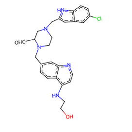 O=CC1CN(Cc2cc3cc(Cl)ccc3[nH]2)CCN1Cc1ccc2c(NCCO)ccnc2c1